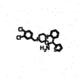 NC(=O)C(c1cccs1)c1ccccc1N1CCN(Cc2ccc(Cl)c(Cl)c2)CC1